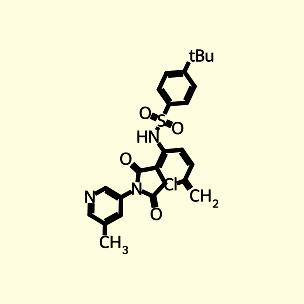 C=C(Cl)/C=C\C(NS(=O)(=O)c1ccc(C(C)(C)C)cc1)=C1/CC(=O)N(c2cncc(C)c2)C1=O